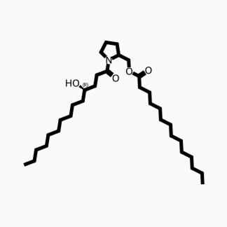 CCCCCCCCCCCCCC(=O)OCC1CCCN1C(=O)CC[C@H](O)CCCCCCCCCC